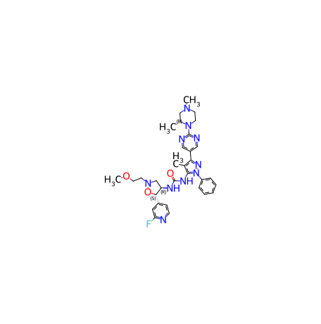 COCCN1C[C@@H](NC(=O)Nc2c(C)c(-c3cnc(N4CCN(C)C[C@H]4C)nc3)nn2-c2ccccc2)[C@H](c2ccnc(F)c2)O1